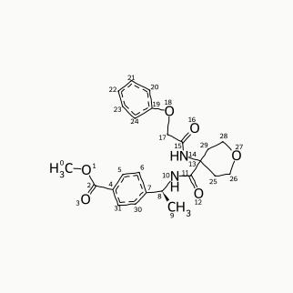 COC(=O)c1ccc([C@H](C)NC(=O)C2(NC(=O)COc3ccccc3)CCOCC2)cc1